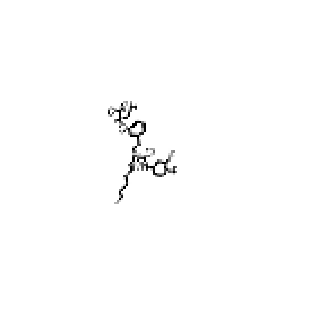 CCCCCCCN(CCc1cccc(OC(C)(CC)C(=O)O)c1)C(=O)Nc1ccc(F)c(F)c1